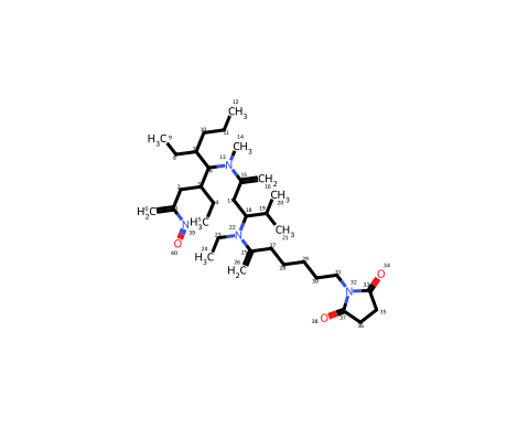 C=C(CC(CC)C(C(CC)CCC)N(C)C(=C)CC(C(C)C)N(CC)C(=C)CCCCCN1C(=O)CCC1=O)N=O